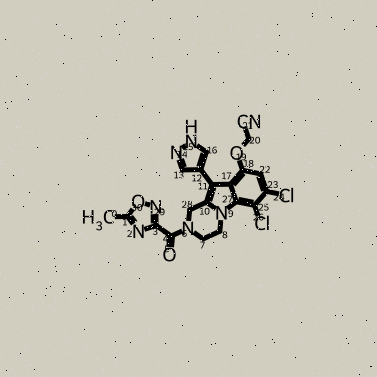 Cc1nc(C(=O)N2CCn3c(c(-c4cn[nH]c4)c4c(OCC#N)cc(Cl)c(Cl)c43)C2)no1